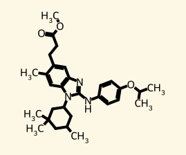 COC(=O)CCc1cc2nc(Nc3ccc(OC(C)C)cc3)n(C3CC(C)CC(C)(C)C3)c2cc1C